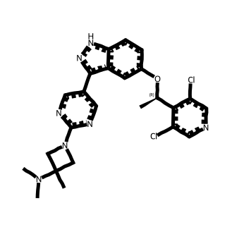 C[C@@H](Oc1ccc2[nH]nc(-c3cnc(N4CC(C)(N(C)C)C4)nc3)c2c1)c1c(Cl)cncc1Cl